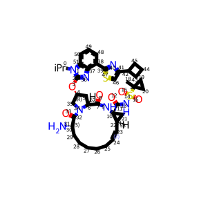 CC(C)n1c(O[C@@H]2C[C@H]3C(=O)N[C@]4(C(=O)NS(=O)(=O)C5(C)CC5)C[C@H]4/C=C\CCCCC[C@H](N)C(=O)N3C2)nc2c(-c3nc(C4CCC4)cs3)cccc21